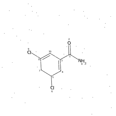 NC(=O)C1=CC(Cl)CC(Cl)=C1